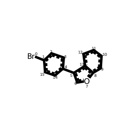 Brc1ccc(-c2coc3ccccc23)cc1